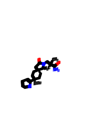 CN[C@]1(c2ccccn2)CC[C@]2(CC1)CC(=O)N(CC(C)(C)C(N)=O)C2